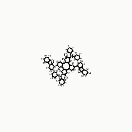 c1ccc(-n2c3ccccc3oc3cc4c5ccc(-c6cccc7c6oc6ccccc67)cc5c5cc6c(cc5c5ccc(-c7cccc8c7oc7ccccc78)cc5c4cc32)oc2ccccc2n6-c2ccccc2)cc1